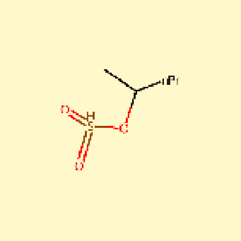 CCCC(C)O[SH](=O)=O